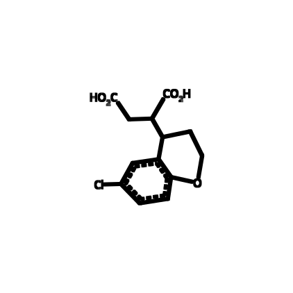 O=C(O)CC(C(=O)O)C1CCOc2ccc(Cl)cc21